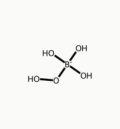 OO[B-](O)(O)O